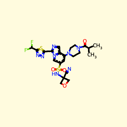 CC(C)C(=O)N1CCN(c2cc(S(=O)(=O)NC3(C#N)COC3)cn3c(-c4nnc(C(F)F)s4)ncc23)CC1